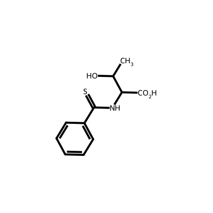 CC(O)C(NC(=S)c1ccccc1)C(=O)O